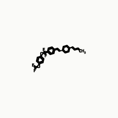 CCCC[C@H]1CC[C@H](CCc2ccc(C(F)(F)Oc3ccc(OC(F)F)cc3)cc2)CC1